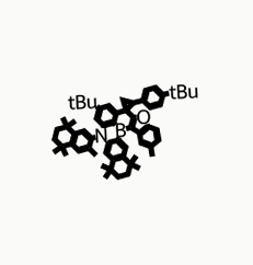 Cc1ccc2oc3c(c2c1)B1c2cc4c(cc2N(c2cc5c(cc2C)C(C)(C)CCC5(C)C)c2cc(C(C)(C)C)cc(c21)C31CC1c1ccc(C(C)(C)C)cc1)C(C)(C)CCC4(C)C